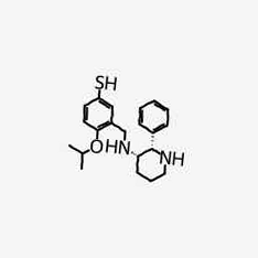 CC(C)Oc1ccc(S)cc1CN[C@H]1CCCN[C@H]1c1ccccc1